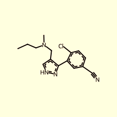 CCCN(C)Cc1c[nH]nc1-c1cc(C#N)ccc1Cl